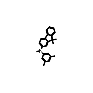 Cc1cc(C)cc(N(C)c2ccc3c(c2)C(C)(C)c2ccccc2-3)c1